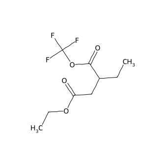 CCOC(=O)CC(CC)C(=O)OC(F)(F)F